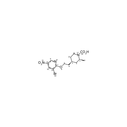 C[C@H]1C[C@@H](CCOc2ncc([N+](=O)[O-])cc2Br)CCN1C(=O)O